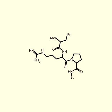 CCNC(=O)C1CCCN1C(=O)C(CCCNC(=N)N)NC(=O)C(CC(C)C)NC